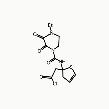 CCN1CCN(C(=O)NC2(CC(=O)Cl)CC=CS2)C(=O)C1=O